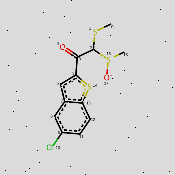 CSC(C(=O)c1cc2cc(Cl)ccc2s1)[S+](C)[O-]